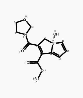 CC(C)(C)OC(=O)C1=C(C(=O)N2CCSC2)C[N@@+]2(O)C=CC=C12